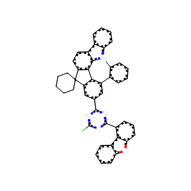 Clc1nc(-c2cc3c4c(c2)C2(CCCCC2)c2ccc5c6ccccc6n(c5c2-4)-c2ccccc2-3)nc(-c2cccc3oc4ccccc4c23)n1